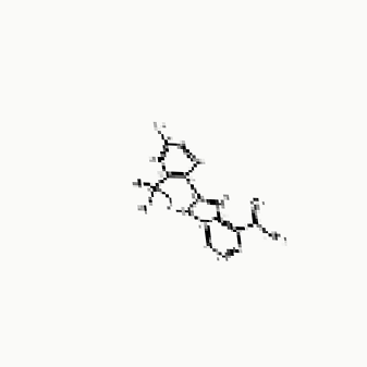 NC(=O)c1cncc2[nH]c(-c3ccc(F)cc3C(F)(F)F)nc12